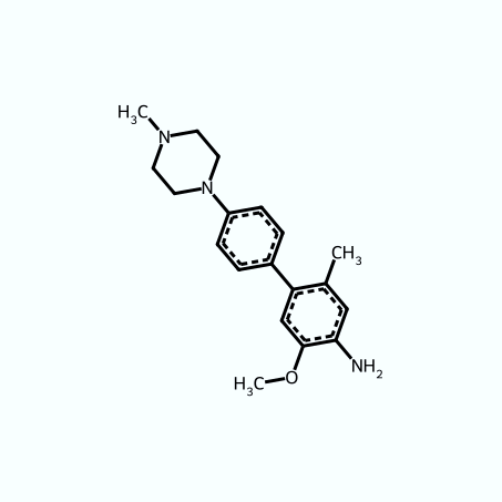 COc1cc(-c2ccc(N3CCN(C)CC3)cc2)c(C)cc1N